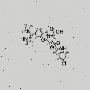 O=C(O)[C@H]1CN(S(=O)(=O)c2cc3cc(Cl)ccc3[nH]2)CC(=O)N1Cc1ccc(C(=C2CCN2)N2CCC2)cc1